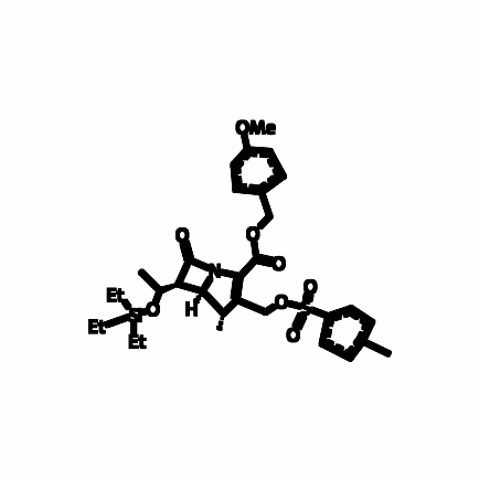 CC[Si](CC)(CC)OC(C)[C@H]1C(=O)N2C(C(=O)OCc3ccc(OC)cc3)=C(COS(=O)(=O)c3ccc(C)cc3)[C@H](C)[C@@H]12